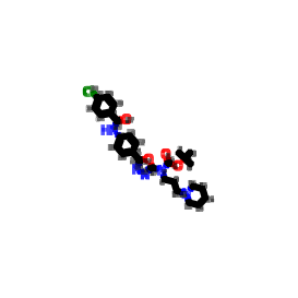 CC(C)(C)OC(=O)N(CCCN1CCCCC1)c1nnc(-c2ccc(NC(=O)c3ccc(Cl)cc3)cc2)o1